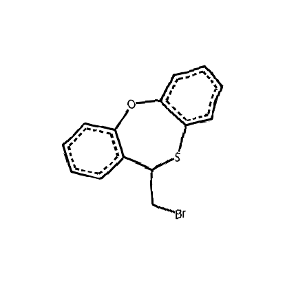 BrCC1Sc2ccccc2Oc2ccccc21